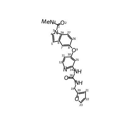 CNC(=O)n1ccc2cc(Oc3ccnc(NC(=O)NCc4ccco4)c3)ccc21